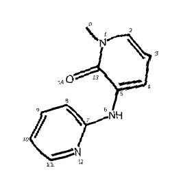 Cn1cccc(Nc2ccccn2)c1=O